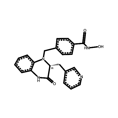 O=C(NO)c1ccc(CN2c3ccccc3NC(=O)[C@H]2Cc2cccnc2)cc1